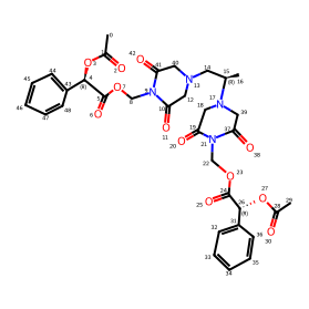 CC(=O)O[C@@H](C(=O)OCN1C(=O)CN(C[C@@H](C)N2CC(=O)N(COC(=O)[C@H](OC(C)=O)c3ccccc3)C(=O)C2)CC1=O)c1ccccc1